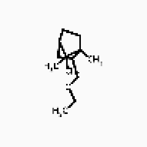 CCOCC1CC2CCC1(C)C2(C)C